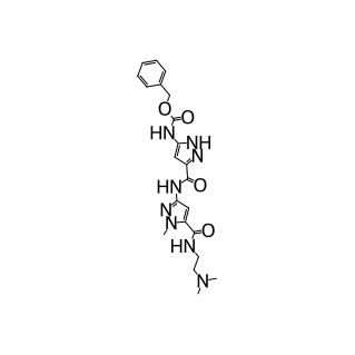 CN(C)CCNC(=O)c1cc(NC(=O)c2cc(NC(=O)OCc3ccccc3)[nH]n2)nn1C